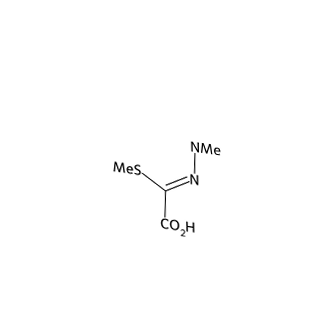 CN/N=C(\SC)C(=O)O